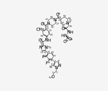 COCCn1ncc(-c2ccc(-c3cnc(C(=O)Nc4ccc(C(=O)N5CCN(C(=O)C6CC[N+](C)(CC(=O)NNC(=O)[O-])CC6)CC5)c(Cl)c4)n3C)c(F)c2F)c1C